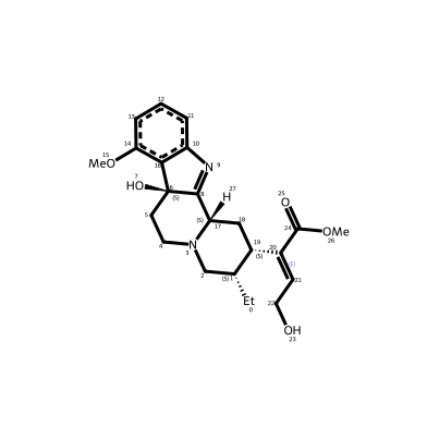 CC[C@@H]1CN2CC[C@@]3(O)C(=Nc4cccc(OC)c43)[C@@H]2C[C@@H]1/C(=C\CO)C(=O)OC